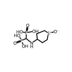 O=P(O)(O)C(NC1CC[S+]([O-])CC1)P(=O)(O)O